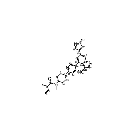 C=CC(C)C(=O)NC1CCN(c2ccc(-c3cc(-c4cnn(C)c4)cn4ncc(C#N)c34)cn2)CC1